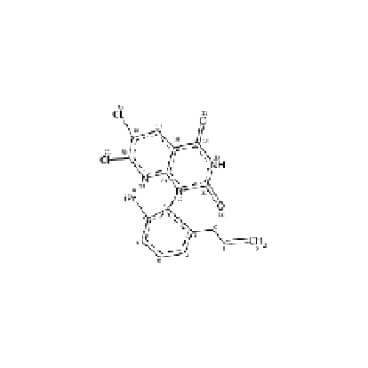 C=CCc1cccc(C(C)C)c1-n1c(=O)[nH]c(=O)c2cc(Cl)c(Cl)nc21